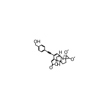 COC1[C@@H](OC)C12CC[C@H]1N2[C@@H]2C=C(C#Cc3ccc(CO)cc3)C3=CC(=O)O[C@@]31C2